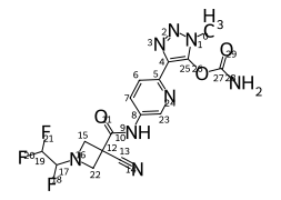 Cn1nnc(-c2ccc(NC(=O)C3(C#N)CN(C(F)C(F)F)C3)cn2)c1OC(N)=O